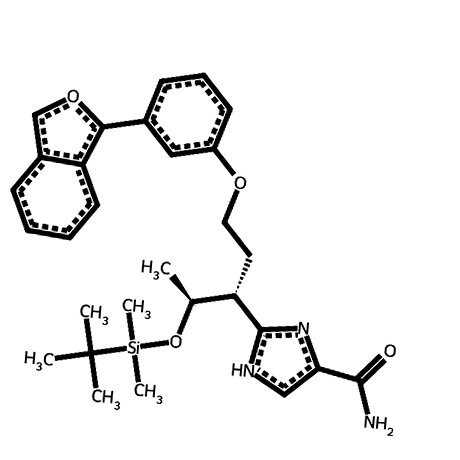 C[C@H](O[Si](C)(C)C(C)(C)C)[C@H](CCOc1cccc(-c2occ3ccccc23)c1)c1nc(C(N)=O)c[nH]1